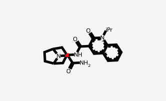 CC(C)n1c(=O)c(C(=O)NC2CC3CCC(C2)N3CC(N)=O)cc2ccccc21